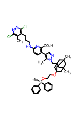 Cc1c(Cl)nnc(Cl)c1CCCNc1ccc(-c2cnn(CC34CC5(C)CC(C)(C3)CC(OCCO[Si](c3ccccc3)(c3ccccc3)C(C)(C)C)(C5)C4)c2C)c(C(=O)O)n1